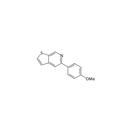 COc1ccc(-c2cc3ccsc3cn2)cc1